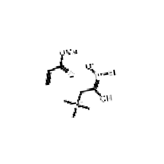 C=CC(=O)OC.CC/[P+]([O-])=C(\O)C[N+](C)(C)C